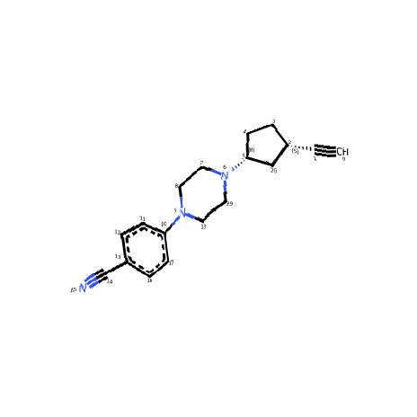 C#C[C@H]1CC[C@@H](N2CCN(c3ccc(C#N)cc3)CC2)C1